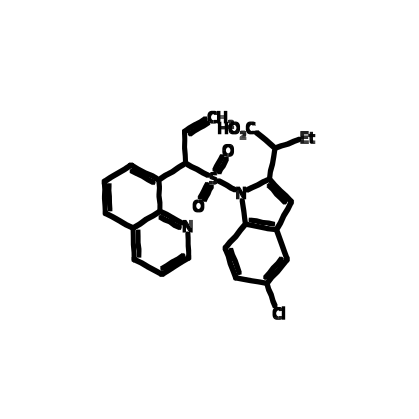 C=CC(c1cccc2cccnc12)S(=O)(=O)n1c(C(CC)C(=O)O)cc2cc(Cl)ccc21